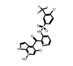 O=C(c1ncccc1NS(=O)(=O)c1ccc(Cl)c(C(F)(F)F)c1)c1c(Cl)c[n+](O)c2[nH]ccc12